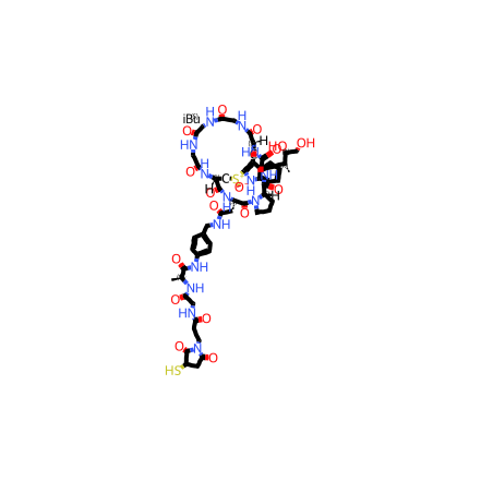 CC[C@H](C)C1NC(=O)CNC(=O)[C@@H]2Cc3c([nH]c4ccccc34)[S+]([O-])C[C@H](NC(=O)CNC1=O)C(=O)N[C@@H](CC(=O)NCc1ccc(NC(=O)[C@H](C)NC(=O)CNC(=O)CCN3C(=O)CC(S)C3=O)cc1)C(=O)N1CCC[C@H]1C(=O)NC([C@@H](C)[C@@H](O)CO)C(=O)N2